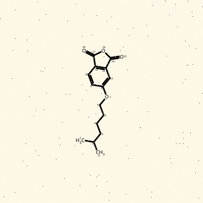 CC(C)CCCCOc1ccc2c(c1)C(=O)OC2=O